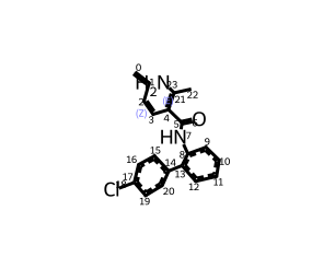 C=C/C=C\C(C(=O)Nc1ccccc1-c1ccc(Cl)cc1)=C(\C)N